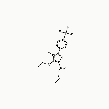 CCOC(=O)c1nc(-c2ccc(C(F)(F)F)cc2)n(C)c1SCC